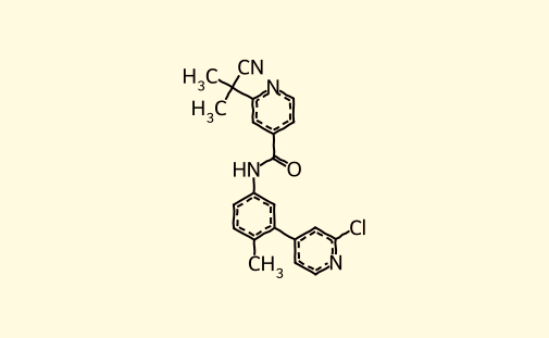 Cc1ccc(NC(=O)c2ccnc(C(C)(C)C#N)c2)cc1-c1ccnc(Cl)c1